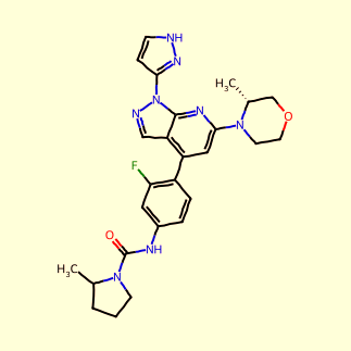 CC1CCCN1C(=O)Nc1ccc(-c2cc(N3CCOC[C@H]3C)nc3c2cnn3-c2cc[nH]n2)c(F)c1